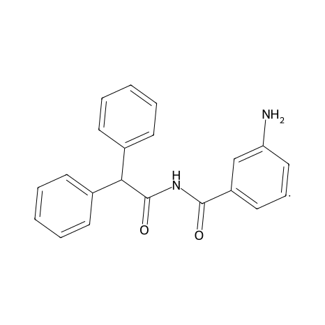 Nc1c[c]cc(C(=O)NC(=O)C(c2ccccc2)c2ccccc2)c1